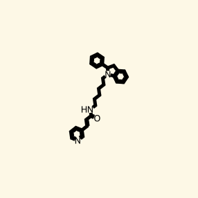 O=C(/C=C/c1cccnc1)NCCCCCCN1c2ccccc2CC1c1ccccc1